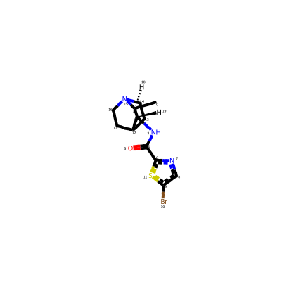 C[C@H]1[C@H](NC(=O)c2ncc(Br)s2)C2CCN1CC2